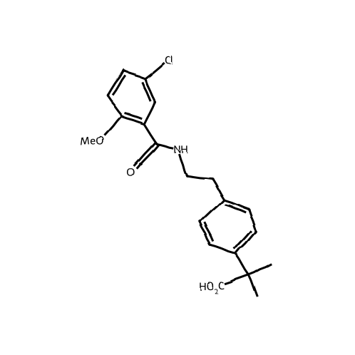 COc1ccc(Cl)cc1C(=O)NCCc1ccc(C(C)(C)C(=O)O)cc1